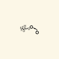 O=C(NCCOc1cccc(C#CCc2ccccc2)c1)C(F)(F)F